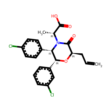 C=CC[C@H]1O[C@H](c2cccc(Cl)c2)[C@H](c2ccc(Cl)cc2)N([C@H](C)C(=O)O)C1=O